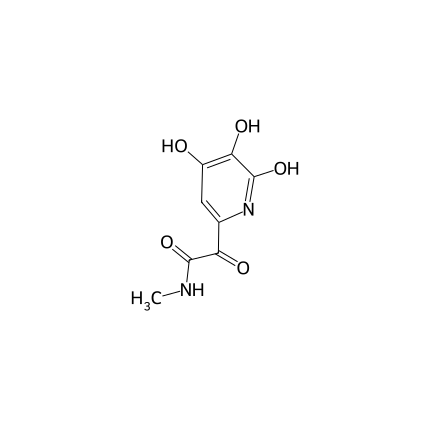 CNC(=O)C(=O)c1cc(O)c(O)c(O)n1